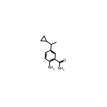 CC(c1ccc(N)c(C(N)=O)c1)C1CC1